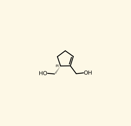 OCC1=CCC[C@H]1CO